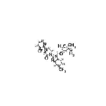 C[Si](C)(C)CCOCn1c(N2CCN(c3ncccc3C(F)(F)F)CC2=O)nc2cc(C(F)(F)F)ccc21